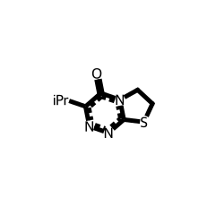 CC(C)c1nnc2n(c1=O)CCS2